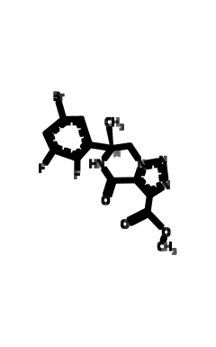 COC(=O)c1nnn2c1C(=O)N[C@](C)(c1cc(Br)cc(F)c1F)C2